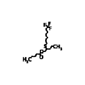 CCCCC(=O)OCC(CCC)SCCCCCCC(F)(F)F